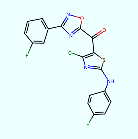 O=C(c1nc(-c2cccc(F)c2)no1)c1sc(Nc2ccc(F)cc2)nc1Cl